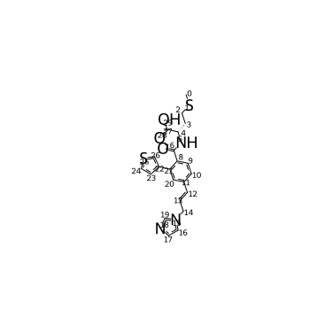 CSCC[C@H](NC(=O)c1ccc(/C=C/Cn2ccnc2)cc1-c1ccsc1)C(=O)O